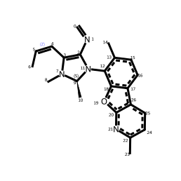 C=NC1=C(/C=C\C)N(C)[C@H](C)N1c1c(C)ccc2c1oc1nc(C)ccc12